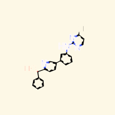 OC(c1ccccc1)c1ccc(-c2cccc(Nc3nccc(C(F)(F)F)n3)c2)cn1